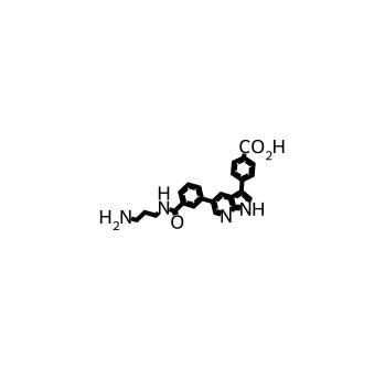 NCCCNC(=O)c1cccc(-c2cnc3[nH]cc(-c4ccc(C(=O)O)cc4)c3c2)c1